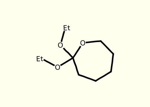 CCOC1(OCC)CCCCCO1